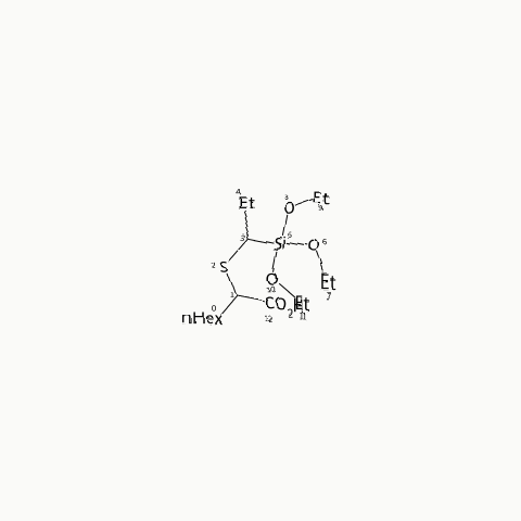 CCCCCCC(SC(CC)[Si](OCC)(OCC)OCC)C(=O)O